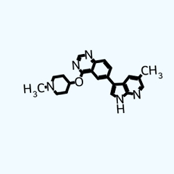 Cc1cnc2[nH]cc(-c3ccc4ncnc(OC5CCN(C)CC5)c4c3)c2c1